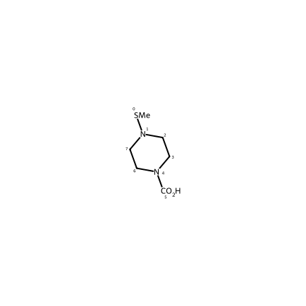 CSN1CCN(C(=O)O)CC1